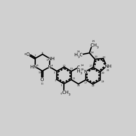 Cc1cc(N2NCC(=O)NC2=O)cc(C)c1Cc1ccc2[nH]cc(C(C)C)c2n1